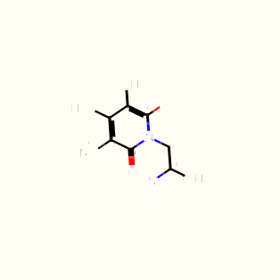 Cc1c(C)c(O)n(CC(C)N)c(=O)c1C#N